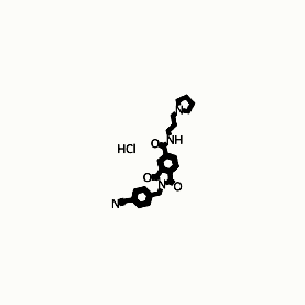 Cl.N#Cc1ccc(CN2C(=O)c3ccc(C(=O)NCCCN4CCCC4)cc3C2=O)cc1